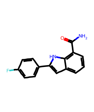 NC(=O)c1cccc2cc(-c3ccc(F)cc3)[nH]c12